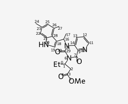 CCC(CC(=O)OC)n1c(=O)c2ncccc2n(C(C)c2c[nH]c3cc(C)cc(C)c23)c1=O